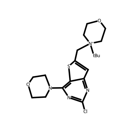 CC(C)(C)[N+]1(Cc2cc3nc(Cl)nc(N4CCOCC4)c3s2)CCOCC1